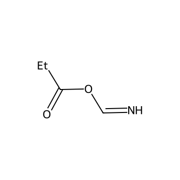 CCC(=O)OC=N